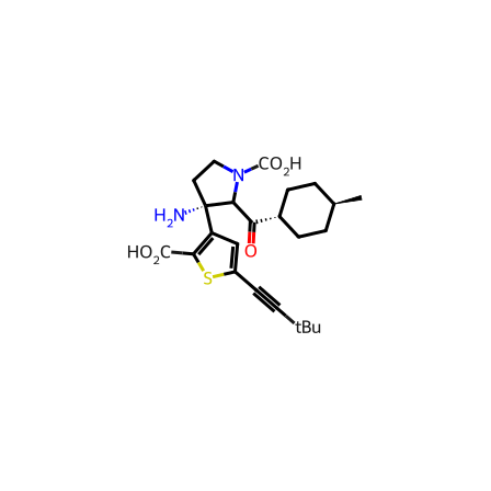 CC(C)(C)C#Cc1cc([C@@]2(N)CCN(C(=O)O)C2C(=O)[C@H]2CC[C@H](C)CC2)c(C(=O)O)s1